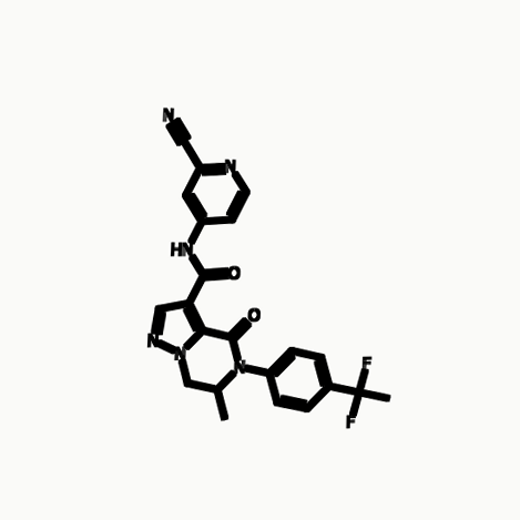 CC1Cn2ncc(C(=O)Nc3ccnc(C#N)c3)c2C(=O)N1c1ccc(C(C)(F)F)cc1